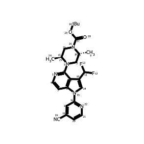 C[C@@H]1CN(c2nccc3c2c(C(F)F)cn3-c2cc(C#N)ccn2)[C@@H](C)CN1C(=O)OC(C)(C)C